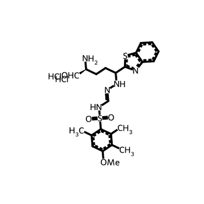 COc1cc(C)c(S(=O)(=O)NC=NNC(CC[C@H](N)C=O)c2nc3ccccc3s2)c(C)c1C.Cl.Cl